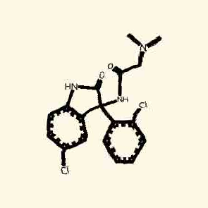 CN(C)CC(=O)NC1(c2ccccc2Cl)C(=O)Nc2ccc(Cl)cc21